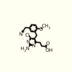 COc1ccc(CC#N)cc1Cc1c(Cl)nc(N)nc1CCC(=O)O